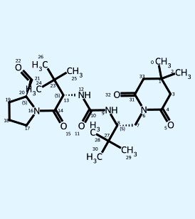 CC1(C)CC(=O)N(C[C@@H](NC(=O)N[C@H](C(=O)N2CCC[C@H]2C=O)C(C)(C)C)C(C)(C)C)C(=O)C1